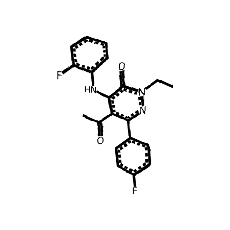 CCn1nc(-c2ccc(F)cc2)c(C(C)=O)c(Nc2ccccc2F)c1=O